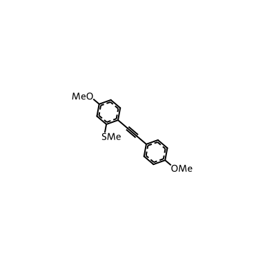 COc1ccc(C#Cc2ccc(OC)cc2SC)cc1